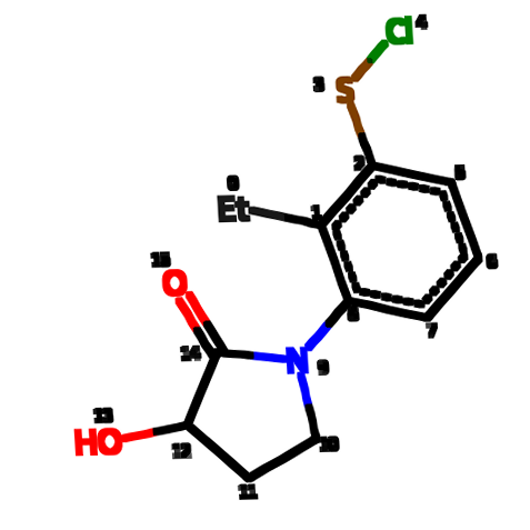 CCc1c(SCl)cccc1N1CCC(O)C1=O